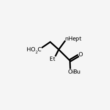 CCCCCCCC(CC)(CC(=O)O)C(=O)OCC(C)C